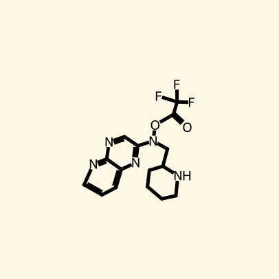 O=C(ON(CC1CCCCN1)c1cnc2ncccc2n1)C(F)(F)F